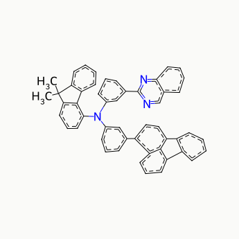 CC1(C)c2ccccc2-c2c(N(c3cccc(-c4ncc5ccccc5n4)c3)c3cccc(-c4ccc5c6c(cccc46)-c4ccccc4-5)c3)cccc21